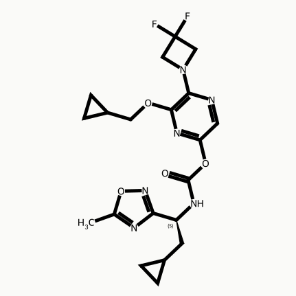 Cc1nc([C@H](CC2CC2)NC(=O)Oc2cnc(N3CC(F)(F)C3)c(OCC3CC3)n2)no1